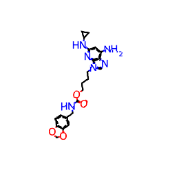 Nc1cc(NC2CC2)nc2c1ncn2CCCCOC(=O)NCc1ccc2c(c1)OCO2